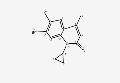 Cc1cc2c(C)cc(=O)n(C3CC3)c2cc1Br